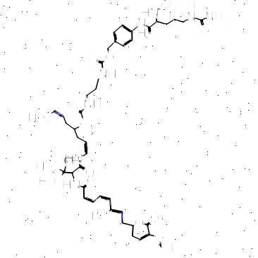 C/C=C\CC(C/C=C\NC(=O)C(NC(=O)\C=C/C=C\C(C)=C\CC1CC=C(OC)C(=O)O1)C(C)(C)C)OC(=O)NCCCNC(=O)OCc1ccc(NC(=O)C(CCCNC(N)=O)NC)cc1